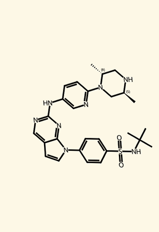 C[C@@H]1CN[C@@H](C)CN1c1ccc(Nc2ncc3ccn(-c4ccc(S(=O)(=O)NC(C)(C)C)cc4)c3n2)cn1